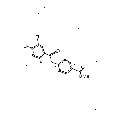 COC(=O)c1ccc(NC(=O)c2cc(Cl)c(Cl)cc2F)cc1